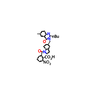 CCCCc1nc2ccc(C)cc2c(=O)n1Cc1ccc2c(ccn2C(=O)c2cccc([N+](=O)[O-])c2C(=O)O)c1